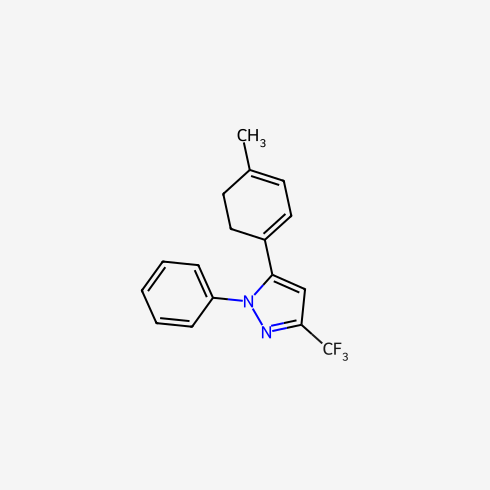 CC1=CC=C(c2cc(C(F)(F)F)nn2-c2ccccc2)CC1